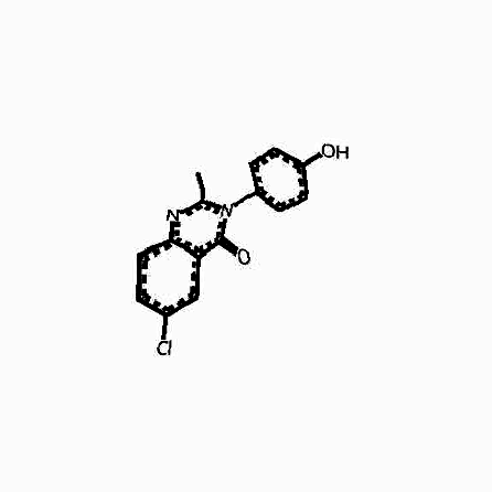 Cc1nc2ccc(Cl)cc2c(=O)n1-c1ccc(O)cc1